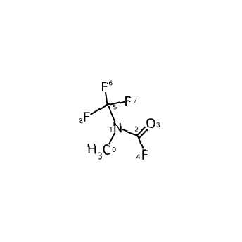 CN(C(=O)F)C(F)(F)F